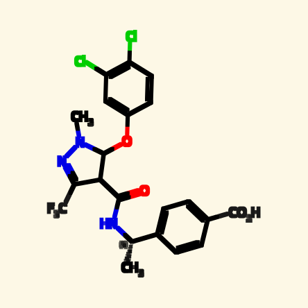 C[C@H](NC(=O)C1C(C(F)(F)F)=NN(C)C1Oc1ccc(Cl)c(Cl)c1)c1ccc(C(=O)O)cc1